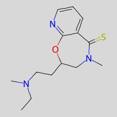 CCN(C)CCC1CN(C)C(=S)c2cccnc2O1